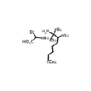 CCCCC(CC)C(=O)O.CCCCCCCCCCCCCCC(CCCC)C(P)(CCCC)CCCC